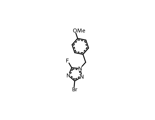 COc1ccc(Cn2nc(Br)nc2F)cc1